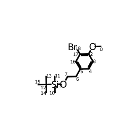 COc1ccc(CCO[Si](C)(C)C(C)(C)C)cc1Br